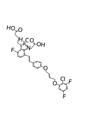 Cc1c(CCCC(=O)O)c2c(F)ccc(C=Cc3ccc(OCC=CCOc4cc(F)cc(F)c4Cl)cc3)c2n1CC(=O)O